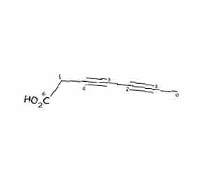 CC#CC#CCC(=O)O